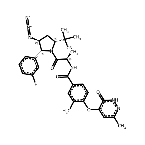 Cc1cc(Oc2ccc(C(=O)N[C@H](C)C(=O)N3[C@H](c4cccc(F)c4)[C@@H](N=[N+]=[N-])C[C@@H]3C(C)(C)C#N)cc2C)c(=O)[nH]n1